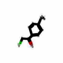 O=C(CCl)c1ccc([N+](=O)[O-])cc1